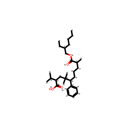 CCCCC(CC)COC(=O)C(C)CCCC(c1ccccc1)C(C)(C)CC(C(=O)O)C(C)C